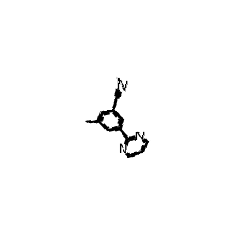 Cc1cc(C#N)cc(-c2ncccn2)c1